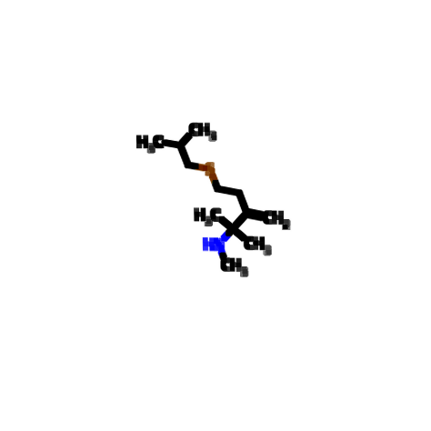 C=C(CCSCC(C)C)C(C)(C)NC